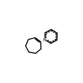 C1=CCCCCC1.c1ccncc1